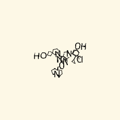 Oc1cc(Cl)c(C2CC2)c(N2CCc3c(nc(OCC45CCCN4CCC5)nc3N3CCCC4(CC(O)C4)C3)C2)c1